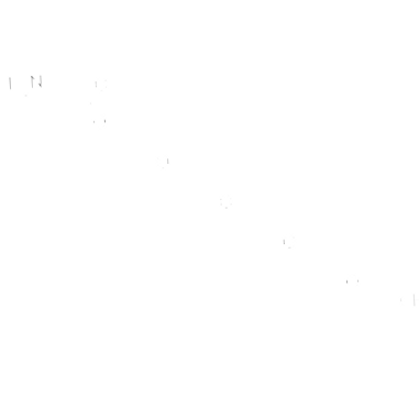 C=CCOCCCOCCCOCCCOCCCOC(=O)CCN